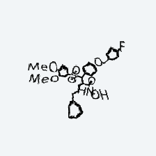 COc1ccc(S(=O)(=O)C(c2ccc(OCc3ccc(F)cc3)cc2)C(CCCc2ccccc2)C(=O)NO)cc1OC